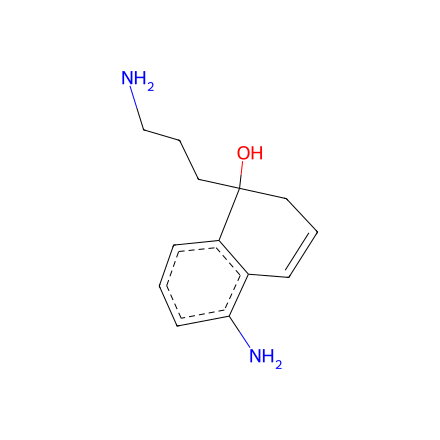 NCCCC1(O)CC=Cc2c(N)cccc21